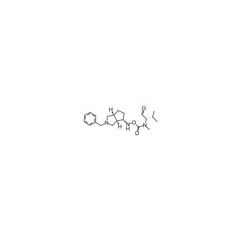 CC(C)[C@@H](C=O)N(C)C(=O)ON[C@@H]1CC[C@H]2CN(Cc3ccccc3)C[C@H]21